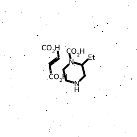 CCC1CNCCN1C(=O)O.O=C(O)C=CC(=O)O